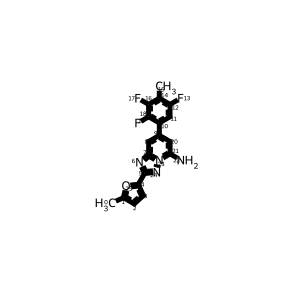 Cc1ccc(-c2nc3cc(-c4cc(F)c(C)c(F)c4F)cc(N)n3n2)o1